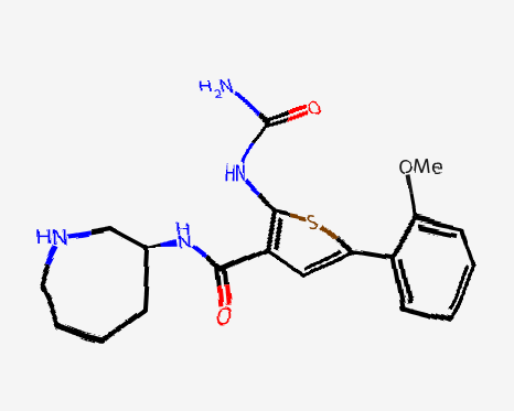 COc1ccccc1-c1cc(C(=O)N[C@H]2CCCCNC2)c(NC(N)=O)s1